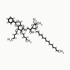 CCCCCCCCCCCCCC[C@H]1OC(C)(C)O[C@H]1[C@@H](O)COC1OC2COC(c3ccccc3)OC2C(OCCCC)C1OCCCC